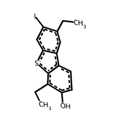 CCc1cc2c(cc1I)sc1c(CC)c(O)ccc12